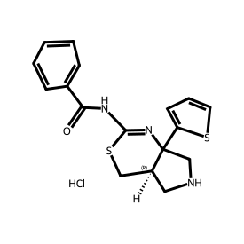 Cl.O=C(NC1=NC2(c3cccs3)CNC[C@H]2CS1)c1ccccc1